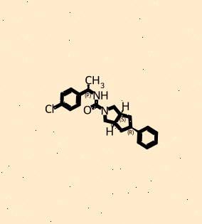 C[C@@H](NC(=O)N1C[C@H]2C[C@@H](c3ccccc3)C[C@H]2C1)c1ccc(Cl)cc1